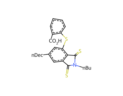 CCCCCCCCCCc1cc(Sc2ccccc2C(=O)O)c2c(c1)C(=S)N(CCCC)C2=S